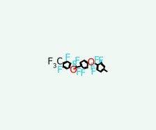 Cc1cc(F)c(C(F)(F)Oc2cc(F)c(C(F)(F)Oc3cc(F)c(C(F)(F)F)c(F)c3)c(F)c2)c(F)c1